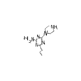 C=CCc1nc(N)nc(N2CCNCC2)n1